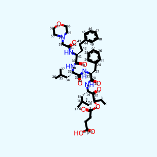 CC[C@@](C)(OC(=O)CCC(=O)O)C(=O)[C@H](CC(C)C)NC(=O)[C@H](Cc1ccccc1)NC(=O)[C@H](CC(C)C)NC(=O)[C@H](CCc1ccccc1)NC(=O)CN1CCOCC1